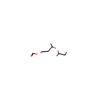 CCC(C)OC(C)CCO[C]=O